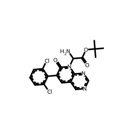 CC(C)(C)OC(=O)C(N)n1c(=O)c(-c2c(Cl)cccc2Cl)cc2cncnc21